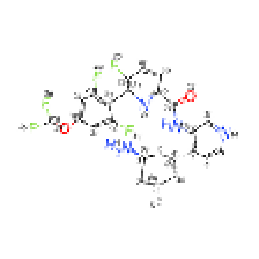 C[C@@H]1C[C@@H](N)C[C@H](c2ccncc2NC(=O)c2ccc(F)c(-c3c(F)cc(OC(F)F)cc3F)n2)C1